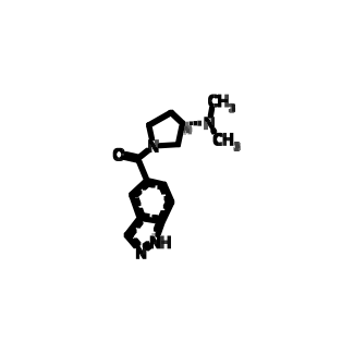 CN(C)[C@H]1CCN(C(=O)c2ccc3[nH]ncc3c2)C1